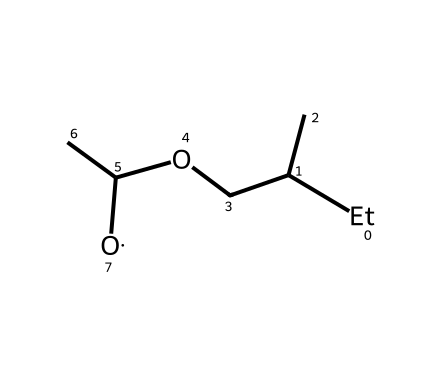 CCC(C)COC(C)[O]